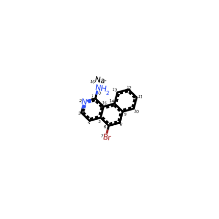 Nc1nccc2c(Br)cc3ccccc3c12.[Na]